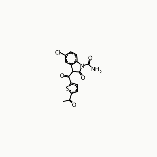 CC(=O)c1ccc(C(=O)C2C(=O)N(C(N)=O)c3ccc(Cl)cc32)s1